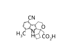 Cc1ccc(C#N)c2c3c([nH]c12)C(CC(=O)O)(C1CCC1)OCC3